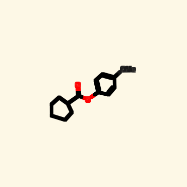 COc1ccc(OC(=O)C2CCCCC2)cc1